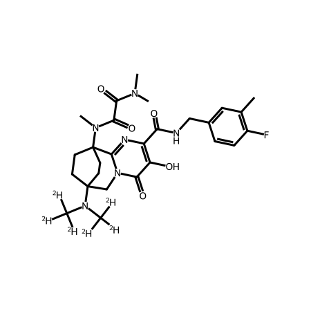 [2H]C([2H])([2H])N(C([2H])([2H])[2H])C12CCC(N(C)C(=O)C(=O)N(C)C)(CC1)c1nc(C(=O)NCc3ccc(F)c(C)c3)c(O)c(=O)n1C2